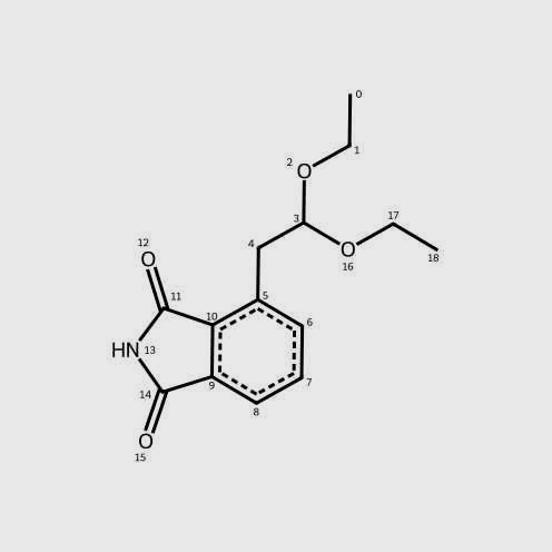 CCOC(Cc1cccc2c1C(=O)NC2=O)OCC